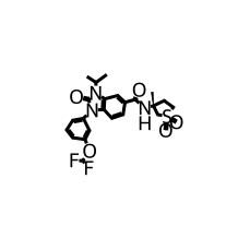 CC(C)n1c(=O)n(-c2cccc(OC(F)F)c2)c2ccc(C(=O)N[C@]3(C)CCS(=O)(=O)C3)cc21